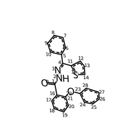 O=C(N/N=C(/c1ccccc1)c1cccs1)c1ccccc1Oc1ccccc1